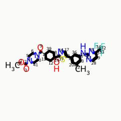 COC(=O)N1CCN(C(=O)[C@H]2CC[C@@](O)(c3ncc(-c4cc(C)cc(Nc5nccc(C(F)(F)F)n5)c4)s3)CC2)CC1